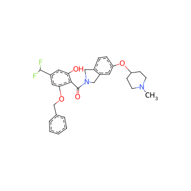 CN1CCC(Oc2ccc3c(c2)CN(C(=O)c2c(O)cc(C(F)F)cc2OCc2ccccc2)C3)CC1